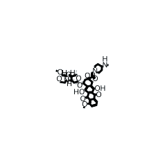 CNC1CCN(CC(=O)[C@]2(O)Cc3c(O)c4c(c(O)c3[C@@H](O[C@H]3C[C@H]5[C@H](O[C@@H]6[C@@H](OC)OCCN65)[C@H](C)O3)C2)C(=O)c2c(OC)cccc2C4=O)CC1